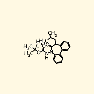 CC(C)CC1C(=O)N(NC(=O)OC(C)(C)C)c2ccccc2-c2ccccc21